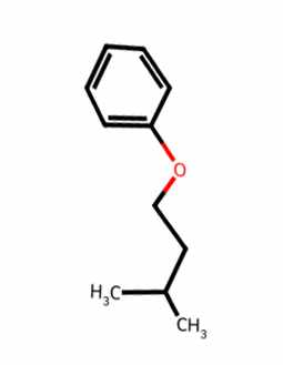 CC(C)CCOc1ccccc1